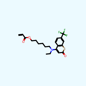 C=CC(=O)OCCCCCCN(CC)c1cc(=O)sc2cc(C(F)(F)F)ccc12